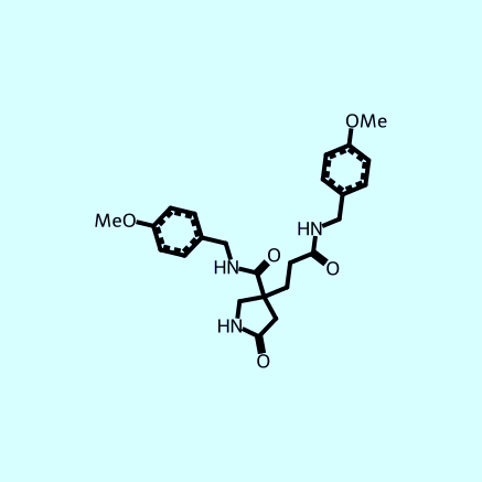 COc1ccc(CNC(=O)CCC2(C(=O)NCc3ccc(OC)cc3)CNC(=O)C2)cc1